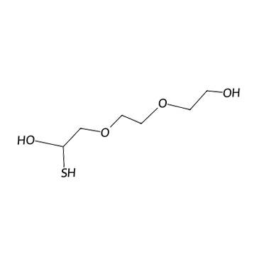 OCCOCCOCC(O)S